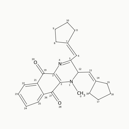 CN1C2=C(N=C(C=C3CCCC3)C1C=C1CCCC1)C(=O)c1ccccc1C2=O